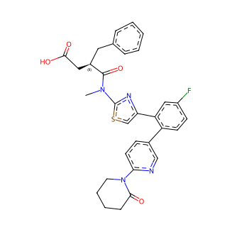 CN(C(=O)[C@@H](CC(=O)O)Cc1ccccc1)c1nc(-c2cc(F)ccc2-c2ccc(N3CCCCC3=O)nc2)cs1